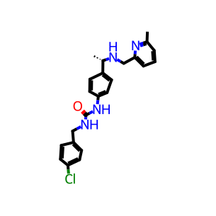 Cc1cccc(CN[C@@H](C)c2ccc(NC(=O)NCc3ccc(Cl)cc3)cc2)n1